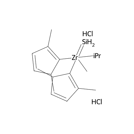 CC1=[C]([Zr]([CH3])(=[SiH2])([C]2=C(C)C=CC2C)[CH](C)C)C(C)C=C1.Cl.Cl